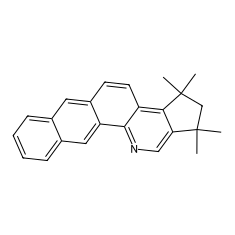 CC1(C)CC(C)(C)c2c1cnc1c2ccc2cc3ccccc3cc21